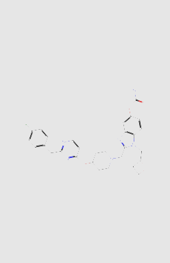 NC(=O)Oc1ccc2c(c1)nc(CN1CCC(Oc3ccnc(Cc4ccc(Cl)cc4)n3)CC1)n2CC1CCO1